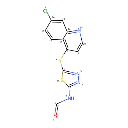 O=CNc1nnc(Sc2ccnc3cc(Cl)ccc23)s1